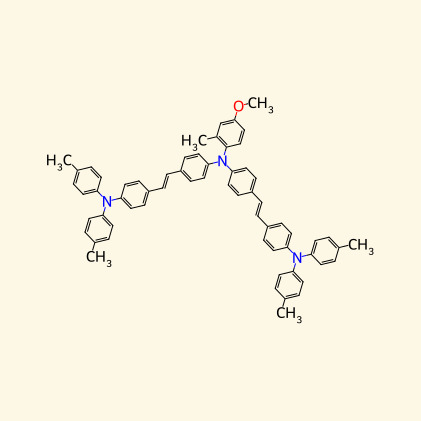 COc1ccc(N(c2ccc(/C=C/c3ccc(N(c4ccc(C)cc4)c4ccc(C)cc4)cc3)cc2)c2ccc(/C=C/c3ccc(N(c4ccc(C)cc4)c4ccc(C)cc4)cc3)cc2)c(C)c1